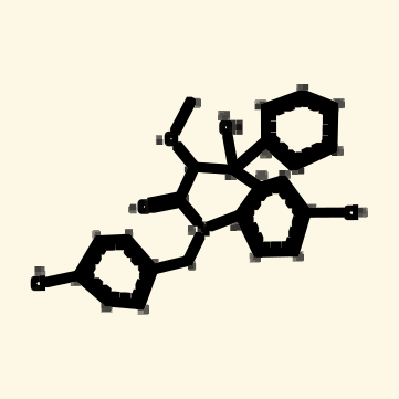 COC1C(=O)N(Cc2ccc(Cl)cc2)c2ccc(Cl)cc2C1(O)c1ccccc1